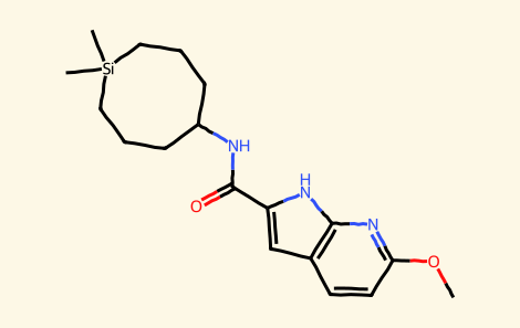 COc1ccc2cc(C(=O)NC3CCC[Si](C)(C)CCC3)[nH]c2n1